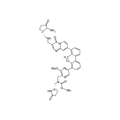 COc1nc(-c2cccc(-c3cccc(-c4ccn5c(=O)c(CNC[C@@H]6CCC(=O)C6N)cnc5c4)c3C)c2Cl)cnc1CN(C[C@@H]1CCC(=O)N1)C(=O)OC(C)(C)C